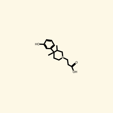 CC1CN(CCC(=O)O)CCC1(C)c1cccc(O)c1